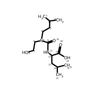 CC(C)CCN(CCO)C(=O)NC(CC(C)C)C(=O)O